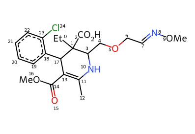 CCC1(C(=O)O)C(COCC=NOC)NC(C)=C(C(=O)OC)C1c1ccccc1Cl